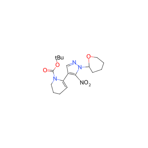 CC(C)(C)OC(=O)N1CCCC=C1c1cnn(C2CCCCO2)c1[N+](=O)[O-]